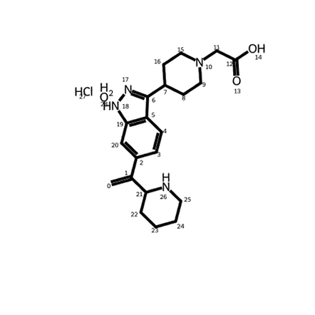 C=C(c1ccc2c(C3CCN(CC(=O)O)CC3)n[nH]c2c1)C1CCCCN1.Cl.O